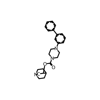 O=C(OC1CN2CCC1CC2)N1CCN(c2cccc(-c3ccccc3)c2)CC1